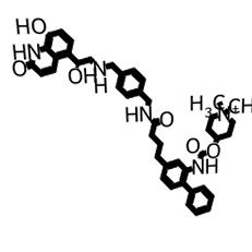 C[N+]1(C)CCC(OC(=O)Nc2cc(CCCC(=O)NCc3ccc(CNC[C@@H](O)c4ccc(O)c5[nH]c(=O)ccc45)cc3)ccc2-c2ccccc2)CC1